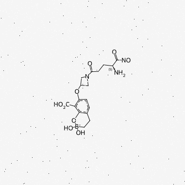 N[C@@H](CCC(=O)N1CC(Oc2ccc3c(c2C(=O)O)O[B-](O)(O)CC3)C1)C(=O)N=O